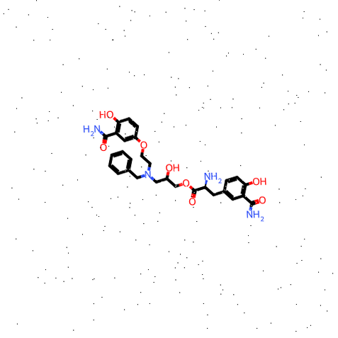 NC(=O)c1cc(C[C@H](N)C(=O)OCC(O)CN(CCOc2ccc(O)c(C(N)=O)c2)Cc2ccccc2)ccc1O